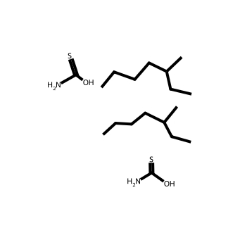 CCCCC(C)CC.CCCCC(C)CC.NC(O)=S.NC(O)=S